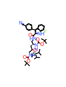 CC(C)[Si](OC(CNC(=O)OC(C)(C)C)C[C@@H](CNC(=O)c1[nH]c2c(F)cccc2c1-c1ccc(C#N)cc1)NC(=O)OC(C)(C)C)(C(C)C)C(C)C